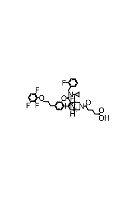 O=C(O)CCCC(=O)N1C[C@H]2CC(c3ccc(CCCOc4c(F)ccc(F)c4F)cc3)=C(C(=O)N(Cc3ccccc3F)C3CC3)[C@@H](C1)N2